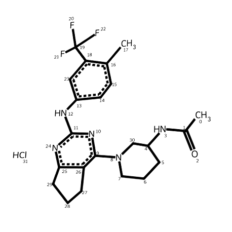 CC(=O)NC1CCCN(c2nc(Nc3ccc(C)c(C(F)(F)F)c3)nc3c2CCC3)C1.Cl